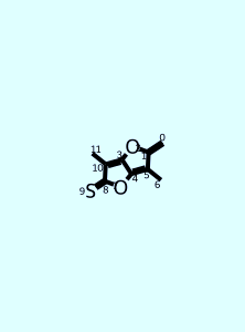 C=c1oc2c(c1C)OC(=S)C=2C